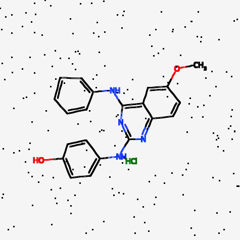 COc1ccc2nc(Nc3ccc(O)cc3)nc(Nc3ccccc3)c2c1.Cl